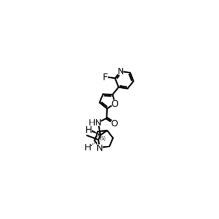 C[C@H]1[C@H](NC(=O)c2ccc(-c3cccnc3F)o2)C2CCN1CC2